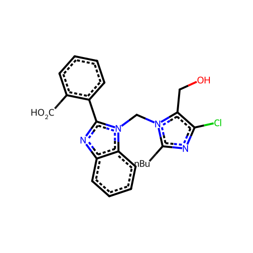 CCCCc1nc(Cl)c(CO)n1Cn1c(-c2ccccc2C(=O)O)nc2ccccc21